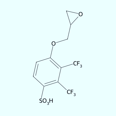 O=S(=O)(O)c1ccc(OCC2CO2)c(C(F)(F)F)c1C(F)(F)F